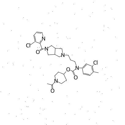 CC(=O)N1CCC(OC(=O)N(CCCN2CC3CN(C(=O)c4ncccc4Cl)CC3C2)c2ccc(C)c(Cl)c2)CC1